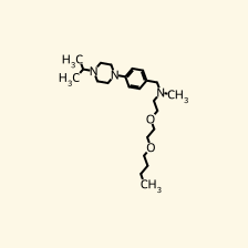 CCCCOCCOCCN(C)Cc1ccc(N2CCN(C(C)C)CC2)cc1